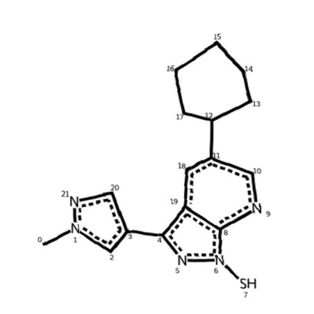 Cn1cc(-c2nn(S)c3ncc(C4CCCCC4)cc23)cn1